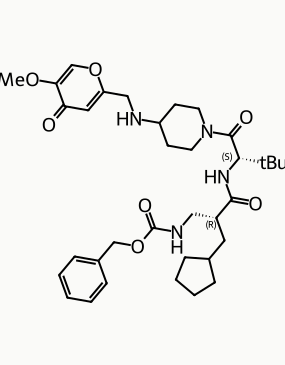 COc1coc(CNC2CCN(C(=O)[C@@H](NC(=O)[C@@H](CNC(=O)OCc3ccccc3)CC3CCCC3)C(C)(C)C)CC2)cc1=O